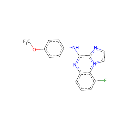 Fc1cccc2nc(Nc3ccc(OC(F)(F)F)cc3)c3nccn3c12